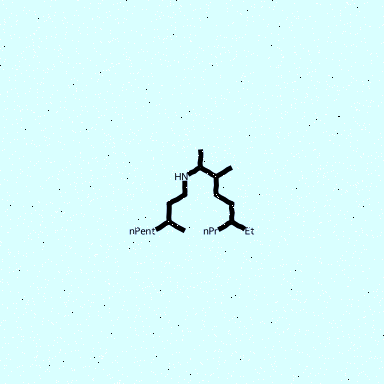 CCCCCC(C)CCNC(C)C(C)CCC(CC)CCC